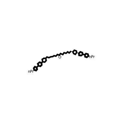 CCCc1ccc(-c2ccc(C3CCC(CCCCCCCC(=O)CCCCCCC[C@H]4CC[C@H](c5ccc(-c6ccc(CCC)cc6)cc5)CC4)CC3)cc2)cc1